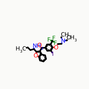 CCCC(N)c1oc2ccccc2c1C(=O)c1cc(I)c(OCCN(CC)CC)c(C(F)(F)F)c1